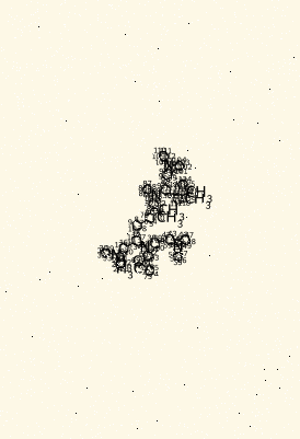 CC1(C)c2ccc(-c3cccc(-c4cc(-c5ccc6c(c5)c5ccccc5n6-c5ccccc5)cc(-n5c6ccc(-c7ccc8c9ccccc9n(-c9ccccc9)c8c7)cc6c6cc7c(cc65)C(C)(C)c5ccccc5-7)c4)c3)cc2-c2cc3c4ccccc4n(-c4cc(-c5ccc6c(c5)c5ccccc5n6-c5ccccc5)cc(-c5cccc6c5-c5ccccc5C6(C)C)c4)c3cc21